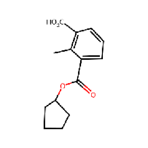 Cc1c(C(=O)O)cccc1C(=O)OC1CCCC1